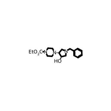 CCOC(=O)N1CCN([C@@H]2CN(Cc3ccccc3)C[C@H]2O)CC1